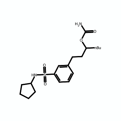 CCCCC(CCc1cccc(S(=O)(=O)NC2CCCC2)c1)OC(N)=O